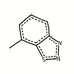 Cc1c[c]cc2nnsc12